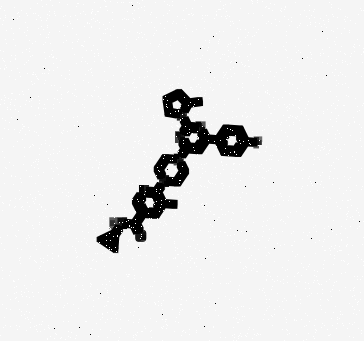 Cc1cc(C(=O)NC2CC2)cnc1N1CCN(c2cc(-c3ccc(F)cc3)nc(N3CCCC3C)n2)CC1